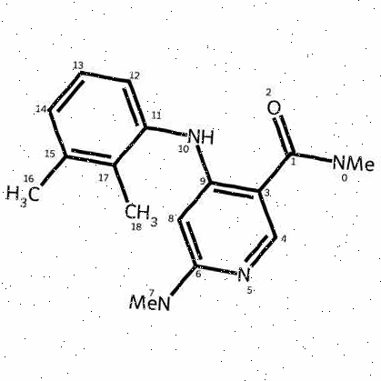 CNC(=O)c1cnc(NC)cc1Nc1cccc(C)c1C